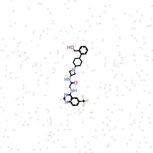 O=C(CNc1ncnc2ccc(C(F)(F)F)cc12)NC1CN(C2CCC(c3ccccc3CO)CC2)C1